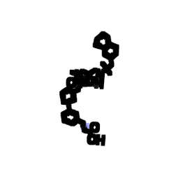 CN(C[C@H](O)CNC(C)(C)Cc1ccc2ccccc2c1)S(=O)(=O)Cc1cccc(-c2cccc(/C=C/C(=O)O)c2)c1